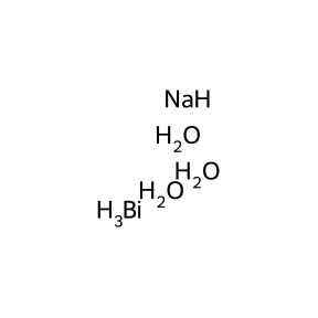 O.O.O.[BiH3].[NaH]